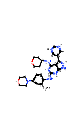 COc1cc(N2CCOCC2)ccc1Nc1nc(NC2CCOCC2)c2c(-c3cncnc3)n[nH]c2n1